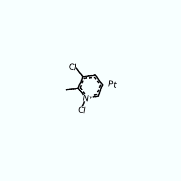 Cc1c(Cl)ccc[n+]1Cl.[Pt]